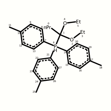 [CH2]CCC(OCC)(OCC)[PH](c1ccc(C)cc1)(c1ccc(C)cc1)c1ccc(C)cc1